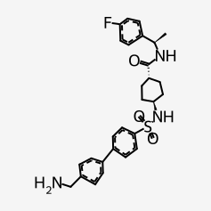 C[C@@H](NC(=O)[C@H]1CC[C@H](NS(=O)(=O)c2ccc(-c3ccc(CN)cc3)cc2)CC1)c1ccc(F)cc1